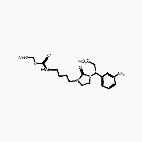 COCOC(=O)NCCCCN1CCN([C@@H](CC(=O)O)c2cccc(C(F)(F)F)c2)C1=O